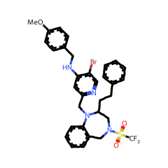 COc1ccc(CNc2cc(CN3c4ccccc4CN(S(=O)(=O)C(F)(F)F)CC3CCc3ccccc3)ncc2Br)cc1